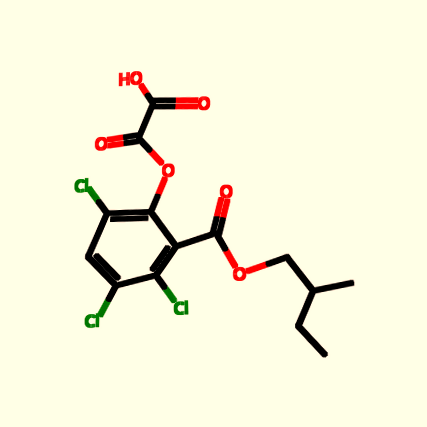 CCC(C)COC(=O)c1c(Cl)c(Cl)cc(Cl)c1OC(=O)C(=O)O